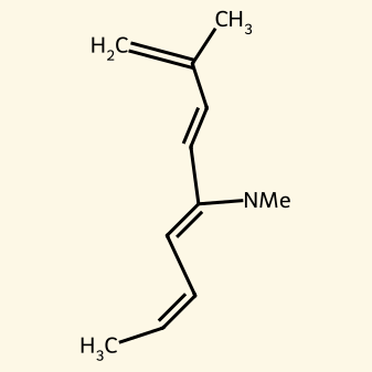 C=C(C)/C=C/C(=C/C=C\C)NC